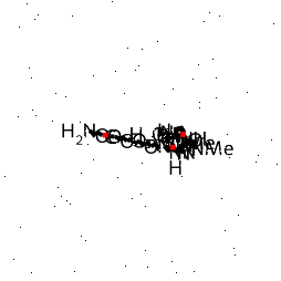 CNC(=O)c1nnc(NC(=O)CNCCOCCOCCOCCOCCOCCN)cc1Nc1cccc(-c2ncn(C)n2)c1OC